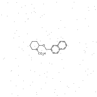 O=C(O)N1CCCCC1OCc1ccc2ccccc2c1